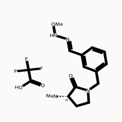 CN[C@H]1CCN(Cc2cccc(C=NNOC)c2)C1=O.O=C(O)C(F)(F)F